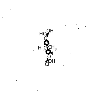 CC(C)(c1ccc(OC[C@H](O)CO)cc1)c1ccc(OC[C@@H](O)CCl)c(I)c1